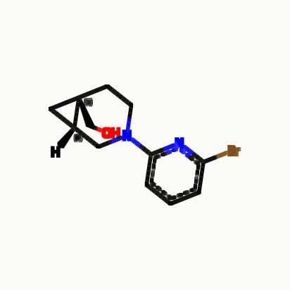 OC[C@@]12CCN(c3cccc(Br)n3)C[C@@H]1C2